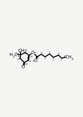 CCCCCCCC(=O)OC1=CC(=O)CC(C)(C)C1